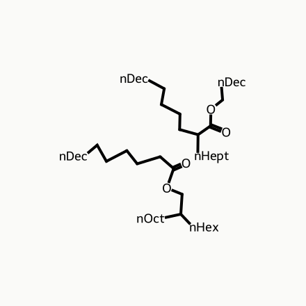 CCCCCCCCCCCCCCC(CCCCCCC)C(=O)OCCCCCCCCCCC.CCCCCCCCCCCCCCCC(=O)OCC(CCCCCC)CCCCCCCC